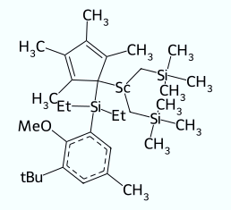 CC[Si](CC)(c1cc(C)cc(C(C)(C)C)c1OC)[C]1([Sc]([CH2][Si](C)(C)C)[CH2][Si](C)(C)C)C(C)=C(C)C(C)=C1C